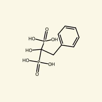 O=P(O)(O)C(O)(Cc1ccccc1)P(=O)(O)O